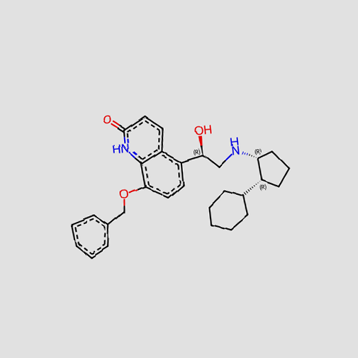 O=c1ccc2c([C@@H](O)CN[C@@H]3CCC[C@@H]3C3CCCCC3)ccc(OCc3ccccc3)c2[nH]1